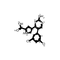 Nc1ncc(-c2cc(Cl)cc(Cl)c2)c(-c2c[nH]c(C(=O)O)c2)n1